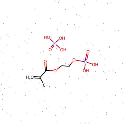 C=C(C)C(=O)OCCOP(=O)(O)O.O=P(O)(O)O